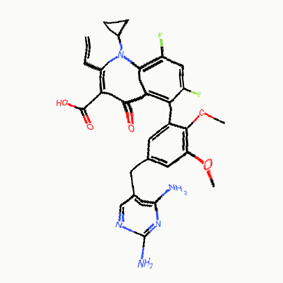 C=Cc1c(C(=O)O)c(=O)c2c(-c3cc(Cc4cnc(N)nc4N)cc(OC)c3OC)c(F)cc(F)c2n1C1CC1